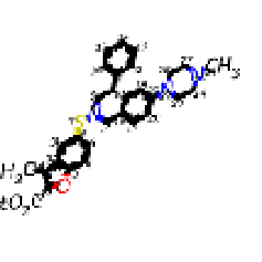 CCOC(=O)c1oc2ccc(SN(CCc3ccccc3)Cc3ccc(N4CCN(C)CC4)cc3)cc2c1C